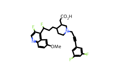 COc1ccc2ncc(F)c(C(F)CCC3CCN(CC#Cc4cc(F)cc(F)c4)CC3CC(=O)O)c2c1